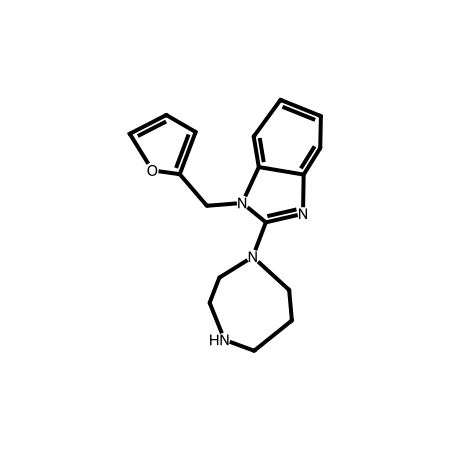 c1coc(Cn2c(N3CCCNCC3)nc3ccccc32)c1